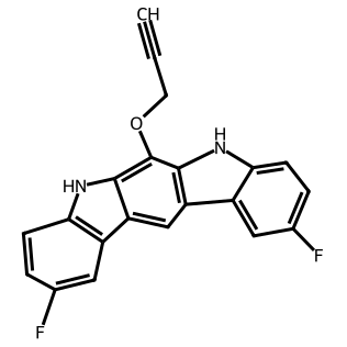 C#CCOc1c2[nH]c3ccc(F)cc3c2cc2c1[nH]c1ccc(F)cc12